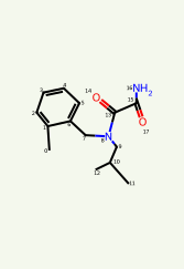 Cc1ccccc1CN(CC(C)C)C(=O)C(N)=O